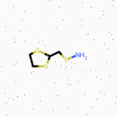 NSCC1SCCS1